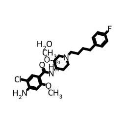 COc1cc(N)c(Cl)cc1C(=O)N[C@H]1CCN(CCCCc2ccc(F)cc2)C[C@H]1OC.O